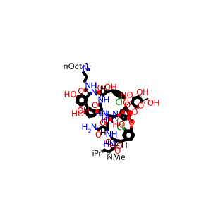 CCCCCCCC[N+](C)(C)CCCNC(=O)[C@@H]1NC(=O)[C@H]2NC(=O)[C@H](NC(=O)[C@@H]3NC(=O)[C@H](CC(N)=O)NC(=O)[C@H](NC(=O)[C@@H](CC(C)C)NC)[C@H](O)c4ccc(c(Cl)c4)Oc4cc3cc(c4O[C@@H]3O[C@H](CO)[C@@H](O)[C@H](O)[C@H]3O[C@H]3C[C@](C)(N)[C@H](O)[C@H](C)O3)Oc3ccc(cc3Cl)[C@H]2O)c2ccc(O)c(c2)-c2c(O)cc(O)cc21